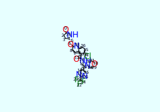 O=C1CC[C@@H](COc2ccc3c(C(=O)NCC(c4cnc(C(F)(F)F)nc4)N4CCOCC4)c(Cl)ccc3n2)N1